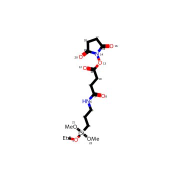 CCO[Si](CCCNC(=O)CCC(=O)ON1C(=O)CCC1=O)(OC)OC